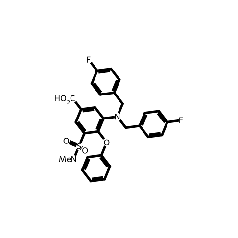 CNS(=O)(=O)c1cc(C(=O)O)cc(N(Cc2ccc(F)cc2)Cc2ccc(F)cc2)c1Oc1ccccc1